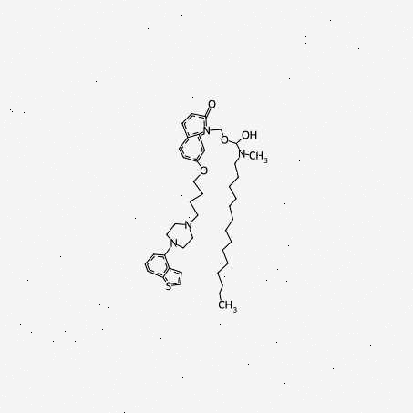 CCCCCCCCCCCCCCN(C)C(O)OCn1c(=O)ccc2ccc(OCCCCN3CCN(c4cccc5sccc45)CC3)cc21